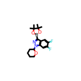 CC1(C)OB(c2nn(C3CCCCO3)c3cc(F)c(F)cc23)OC1(C)C